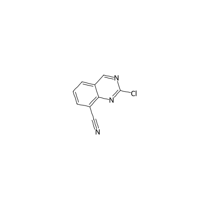 N#Cc1cccc2cnc(Cl)nc12